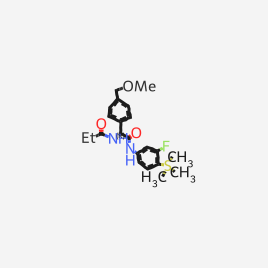 CCC(=O)N[C@@H](C(=O)Nc1ccc(S(C)(C)C)c(F)c1)c1ccc(COC)cc1